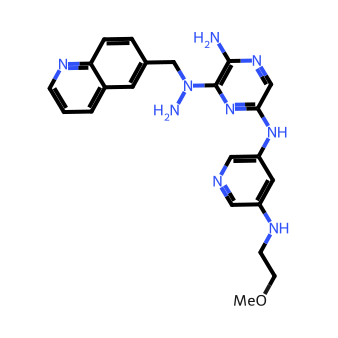 COCCNc1cncc(Nc2cnc(N)c(N(N)Cc3ccc4ncccc4c3)n2)c1